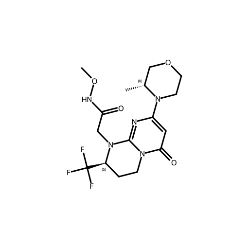 CONC(=O)CN1c2nc(N3CCOC[C@H]3C)cc(=O)n2CC[C@H]1C(F)(F)F